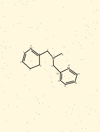 CN(CC1=NC=CCC1)Cc1ccccn1